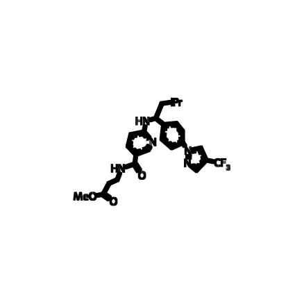 COC(=O)CCNC(=O)c1ccc(NC(CC(C)C)c2ccc(-n3cc(C(F)(F)F)cn3)cc2)nc1